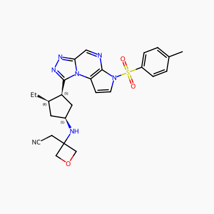 CC[C@@H]1C[C@H](NC2(CC#N)COC2)C[C@@H]1c1nnc2cnc3c(ccn3S(=O)(=O)c3ccc(C)cc3)n12